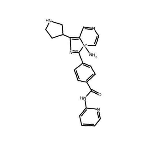 N[N+]12C=CN=CC1=C(C1CCNC1)N=C2c1ccc(C(=O)Nc2ccccn2)cc1